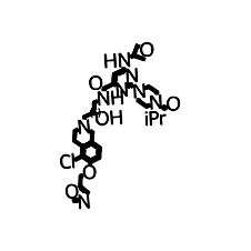 CC(C)C(=O)N1CCN(c2nc(NC3COC3)cc(C(=O)NC[C@H](O)CN3CCc4c(ccc(OCc5cnco5)c4Cl)C3)n2)CC1